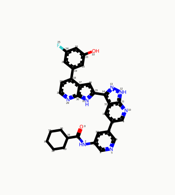 O=C(Nc1cncc(-c2cnc3[nH]nc(-c4cc5c(-c6cc(O)cc(F)c6)ccnc5[nH]4)c3c2)c1)C1CCCCC1